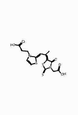 CC(C=C1SC=CN1CCC(=O)O)=C1SC(=S)N(CC(=O)O)C1=O